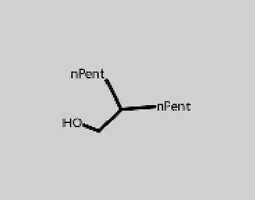 CCCCCC(CO)CCCCC